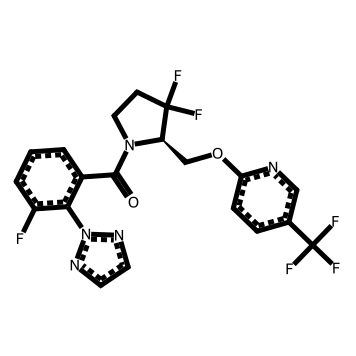 O=C(c1cccc(F)c1-n1nccn1)N1CCC(F)(F)[C@H]1COc1ccc(C(F)(F)F)cn1